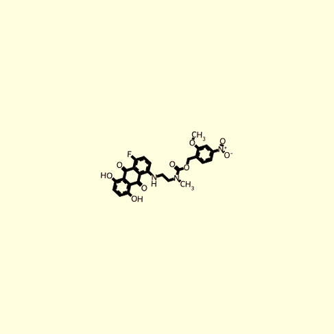 COc1cc([N+](=O)[O-])ccc1COC(=O)N(C)CCNc1ccc(F)c2c1C(=O)c1c(O)ccc(O)c1C2=O